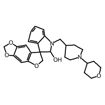 OC1N(CC2CCN(C3CCOCC3)CC2)c2ccccc2C12COc1cc3c(cc12)OCO3